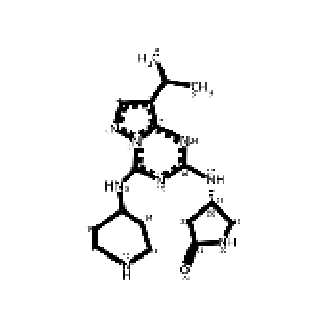 CC(C)c1cnn2c(NC3CCNCC3)nc(N[C@@H]3CNC(=O)C3)nc12